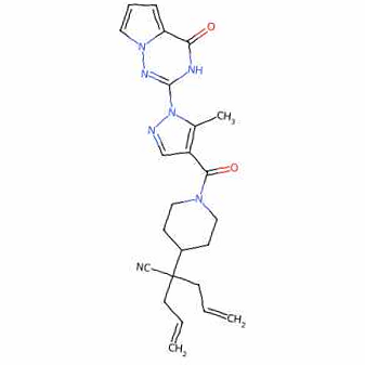 C=CCC(C#N)(CC=C)C1CCN(C(=O)c2cnn(-c3nn4cccc4c(=O)[nH]3)c2C)CC1